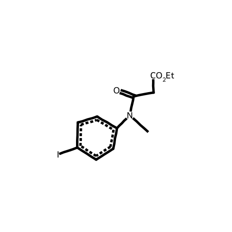 CCOC(=O)CC(=O)N(C)c1ccc(I)cc1